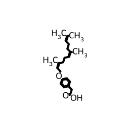 CC(C)=CCCC(C)=CCCC(C)=CCOc1ccc(CC(=O)O)cc1